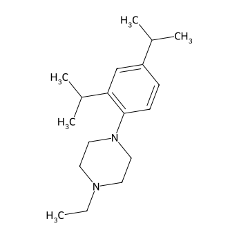 CCN1CCN(c2ccc(C(C)C)cc2C(C)C)CC1